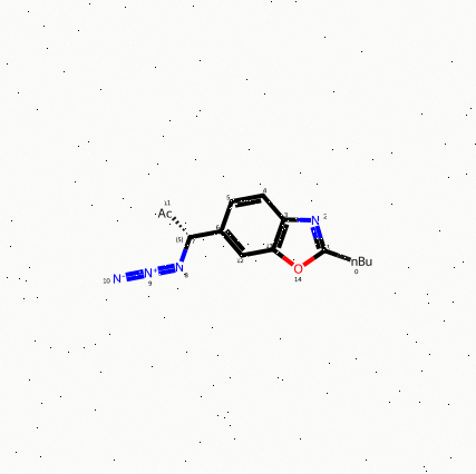 CCCCc1nc2ccc([C@H](N=[N+]=[N-])C(C)=O)cc2o1